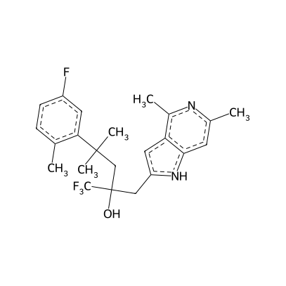 Cc1cc2[nH]c(CC(O)(CC(C)(C)c3cc(F)ccc3C)C(F)(F)F)cc2c(C)n1